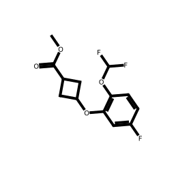 COC(=O)C1CC(Oc2cc(F)ccc2OC(F)F)C1